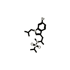 CC(C)Cn1cc(CC(C)N(C)S(=O)(=O)C(C)C)c2ccc(Br)cc21